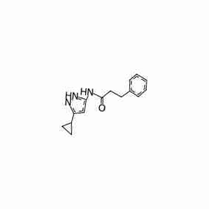 O=C(CCc1ccccc1)Nc1cc(C2CC2)n[nH]1